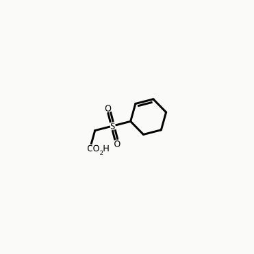 O=C(O)CS(=O)(=O)C1C=CCCC1